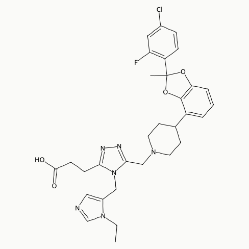 CCn1cncc1Cn1c(CCC(=O)O)nnc1CN1CCC(c2cccc3c2OC(C)(c2ccc(Cl)cc2F)O3)CC1